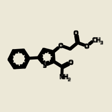 COC(=O)COc1cc(-c2ccccc2)sc1C(N)=O